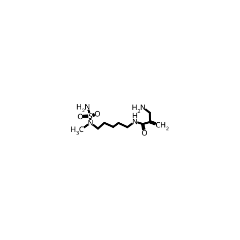 C=C(CN)C(=O)NCCCCCN(C)S(N)(=O)=O